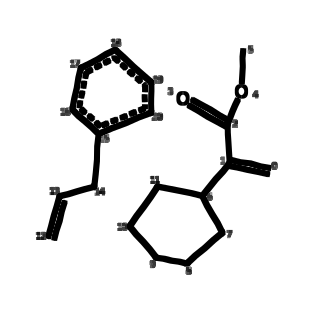 C=C(C(=O)OC)C1CCCCC1.C=CCc1ccccc1